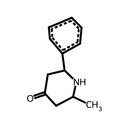 CC1CC(=O)CC(c2ccccc2)N1